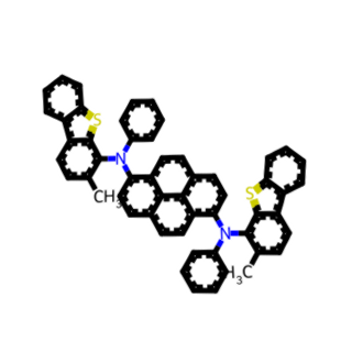 Cc1ccc2c(sc3ccccc32)c1N(c1ccccc1)c1ccc2ccc3c(N(c4ccccc4)c4c(C)ccc5c4sc4ccccc45)ccc4ccc1c2c43